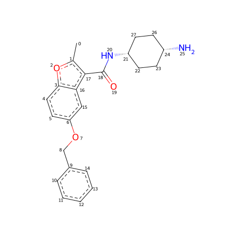 Cc1oc2ccc(OCc3ccccc3)cc2c1C(=O)N[C@H]1CC[C@@H](N)CC1